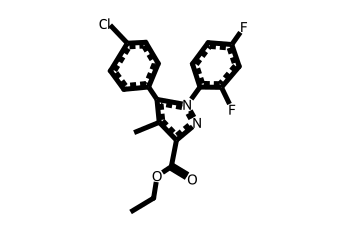 CCOC(=O)c1nn(-c2ccc(F)cc2F)c(-c2ccc(Cl)cc2)c1C